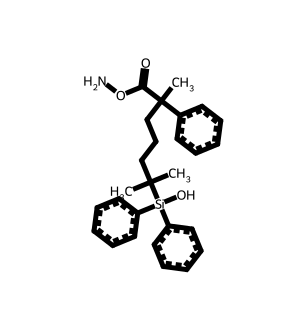 CC(CCCC(C)(C)[Si](O)(c1ccccc1)c1ccccc1)(C(=O)ON)c1ccccc1